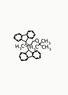 CC(C)(C)OCC[Si](C)(C1c2ccccc2-c2ccccc21)C1c2ccccc2-c2ccccc21